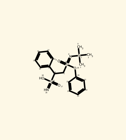 C[Si](C)(C)N=S(=O)(CC(c1ccccc1)S(=N)(=O)O)Oc1ccccc1